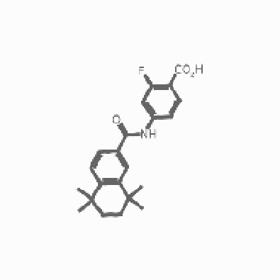 CC1(C)CCC(C)(C)c2cc(C(=O)Nc3ccc(C(=O)O)c(F)c3)ccc21